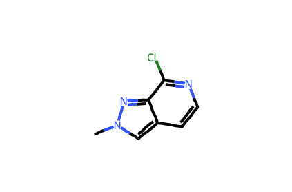 Cn1cc2ccnc(Cl)c2n1